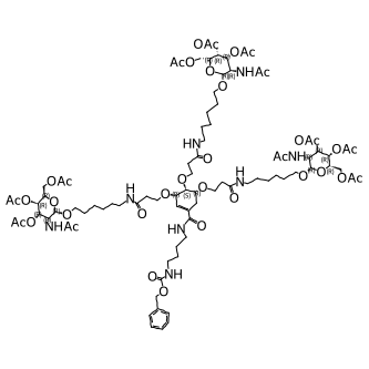 CC(=O)N[C@H]1[C@H](OCCCCCCNC(=O)CCO[C@@H]2[C@H](OCCC(=O)NCCCCCCO[C@@H]3O[C@H](COC(C)=O)[C@H](OC(C)=O)[C@H](OC(C)=O)[C@H]3NC(C)=O)C=C(C(=O)NCCCCNC(=O)OCc3ccccc3)C[C@H]2OCCC(=O)NCCCCCCO[C@@H]2O[C@H](COC(C)=O)[C@H](OC(C)=O)[C@H](OC(C)=O)[C@H]2NC(C)=O)O[C@H](COC(C)=O)[C@H](OC(C)=O)[C@@H]1OC(C)=O